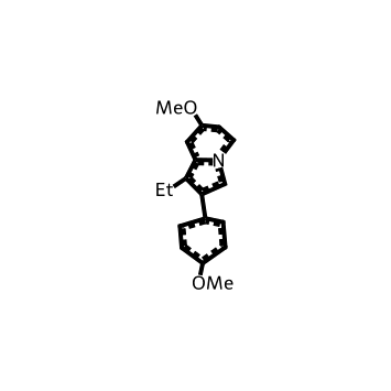 CCc1c(-c2ccc(OC)cc2)cn2ccc(OC)cc12